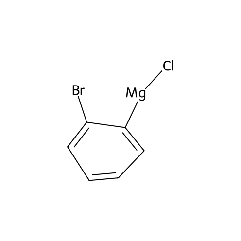 [Cl][Mg][c]1ccccc1Br